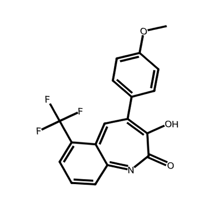 COc1ccc(-c2cc3c(C(F)(F)F)cccc3nc(=O)c2O)cc1